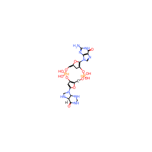 Nc1nc2c(ncn2C2=C3C/C(=C\O[PH](O)(O)Oc4cc(N5CN[C@@H]6C(=O)NCNC65)oc4CO[PH](O)(O)O3)O2)c(=O)[nH]1